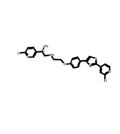 CCc1cc(-c2nc(-c3ccc(OCCNC[C@H](O)c4ccc(Cl)nc4)cc3)cs2)ccn1